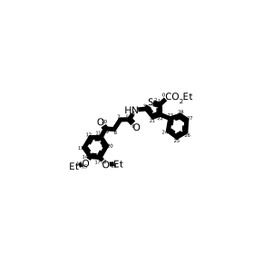 CCOC(=O)c1sc(NC(=O)CCC(=O)c2ccc(OCC)c(OCC)c2)cc1-c1ccccc1